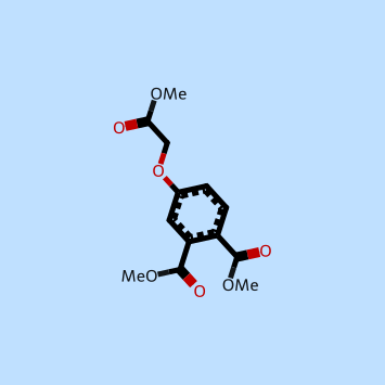 COC(=O)COc1ccc(C(=O)OC)c(C(=O)OC)c1